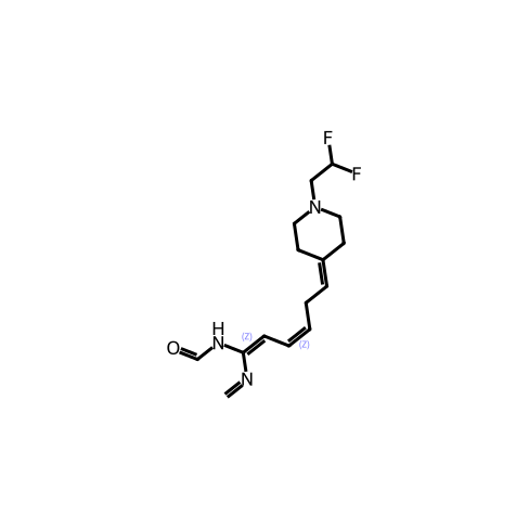 C=N/C(=C\C=C/CC=C1CCN(CC(F)F)CC1)NC=O